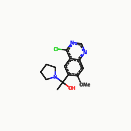 COc1cc2ncnc(Cl)c2cc1C(C)(O)N1CCCC1